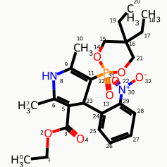 CCOC(=O)C1=C(C)NC(C)=C(P2(=O)OCC(CC)(CC)CO2)C1c1ccccc1[N+](=O)[O-]